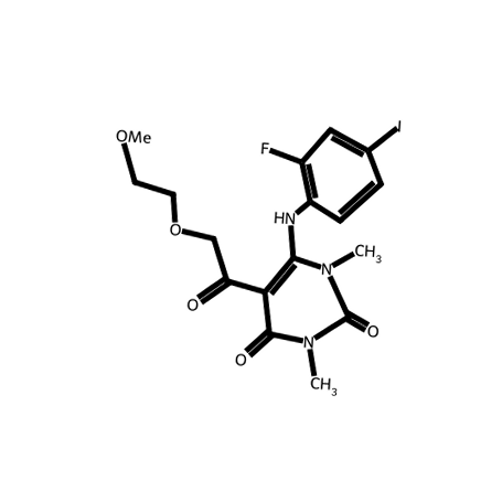 COCCOCC(=O)c1c(Nc2ccc(I)cc2F)n(C)c(=O)n(C)c1=O